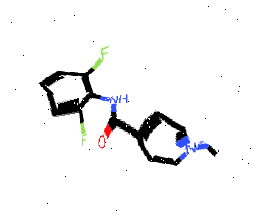 C[n+]1ccc(C(=O)Nc2c(F)cccc2F)cc1